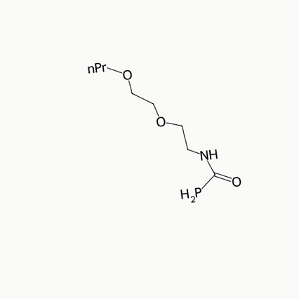 CCCOCCOCCNC(=O)P